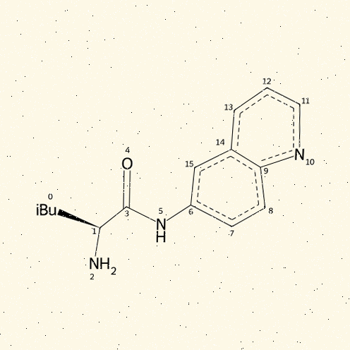 CCC(C)[C@H](N)C(=O)Nc1ccc2ncccc2c1